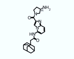 N[C@@H]1CCN(C(=O)c2cn3c(NC(=O)CC45CC6CC(CC(C6)C4)C5)cccc3n2)C1